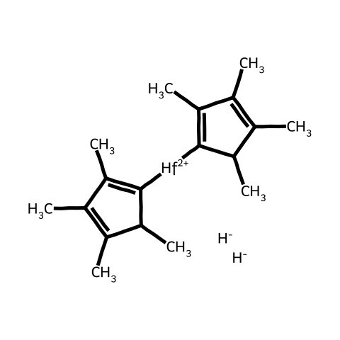 CC1=C(C)C(C)[C]([Hf+2][C]2=C(C)C(C)=C(C)C2C)=C1C.[H-].[H-]